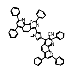 Cn1cc(-c2c(C#N)c(-c3ccccc3)nc3c2ccc2c(-c4ccccc4)cc(-c4ccccc4)nc23)cc1-c1nc(-c2ccccc2)nc2c1ccc1c(-c3ccccc3)cc(-c3ccccc3)nc12